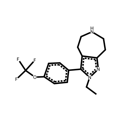 CCn1nc2c(c1-c1ccc(OC(F)(F)F)cc1)CCNCC2